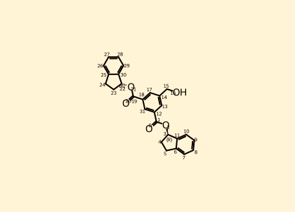 O=C(O[C@@H]1CCc2ccccc21)c1cc(CO)cc(C(=O)O[C@@H]2CCc3ccccc32)c1